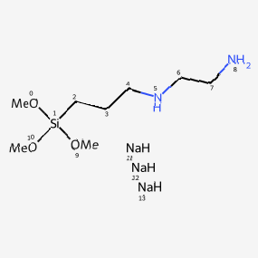 CO[Si](CCCNCCN)(OC)OC.[NaH].[NaH].[NaH]